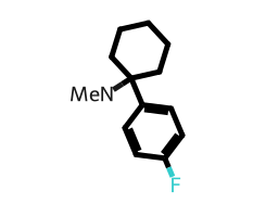 CNC1(c2ccc(F)cc2)CCCCC1